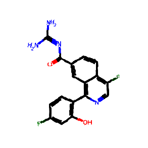 NC(N)=NC(=O)c1ccc2c(F)cnc(-c3ccc(F)cc3O)c2c1